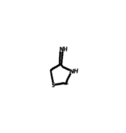 N=C1CS[CH]N1